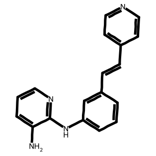 Nc1cccnc1Nc1cccc(C=Cc2ccncc2)c1